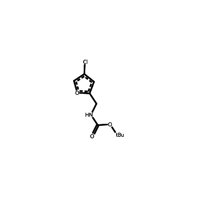 CC(C)(C)OC(=O)NCc1cc(Cl)co1